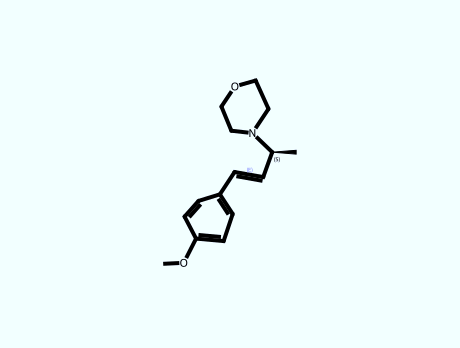 COc1ccc(/C=C/[C@H](C)N2CCOCC2)cc1